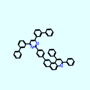 c1ccc(-c2cccc(-c3cc(-c4cccc(-c5ccccc5)c4)nc(-c4ccc(-c5ccc6ccc7nc(-c8ccccc8)cc(-c8ccccc8)c7c6c5)cc4)n3)c2)cc1